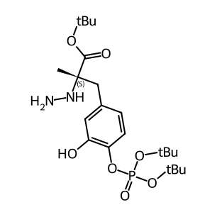 CC(C)(C)OC(=O)[C@](C)(Cc1ccc(OP(=O)(OC(C)(C)C)OC(C)(C)C)c(O)c1)NN